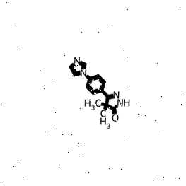 CC1(C)C(=O)NN=C1c1ccc(-n2ccnc2)cc1